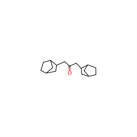 O=C(CC1CC2CCC1C2)CC1CC2CCC1C2